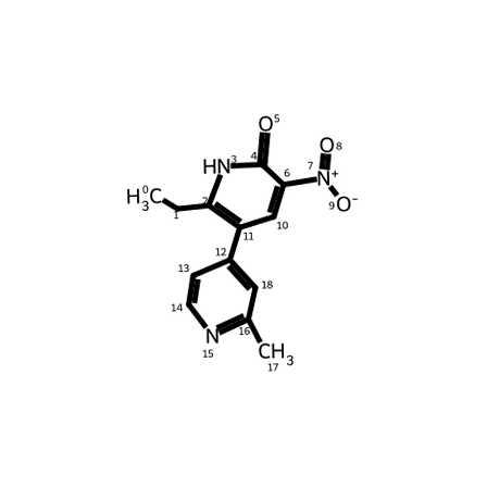 CCc1[nH]c(=O)c([N+](=O)[O-])cc1-c1ccnc(C)c1